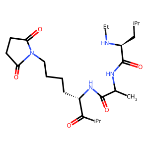 CCN[C@@H](CC(C)C)C(=O)NC(C)C(=O)N[C@@H](CCCCN1C(=O)CCC1=O)C(=O)C(C)C